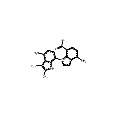 Cc1[nH]c2c(-n3ccc4c(N)ccc(C(N)=O)c43)ccc(N)c2c1C